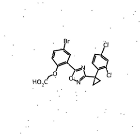 O=C(O)COc1ccc(Br)cc1-c1nc(C2(c3ccc(Cl)cc3Cl)CC2)no1